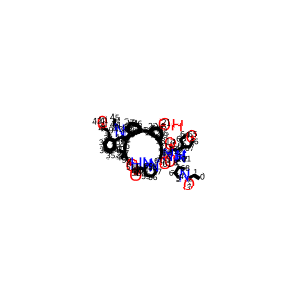 C=CC(=O)N1CC[C@H](C(=O)N(C)[C@H](C(=O)N[C@H]2Cc3cc(O)cc(c3)-c3ccc4c(c3)c(c(-c3ccccc3CCOC)n4CC)CC(C)(C)COC(=O)[C@@H]3CCCN(N3)C2=O)C2CCOCC2)C1